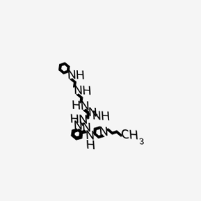 CCCCCN1CCC(Nc2nc(NC/C(=C/NCCCNCCCNC3CCCCC3)N=N)nc3ccccc23)CC1